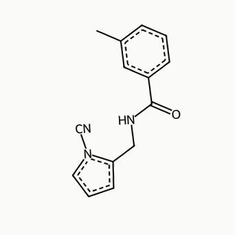 Cc1cccc(C(=O)NCc2cccn2C#N)c1